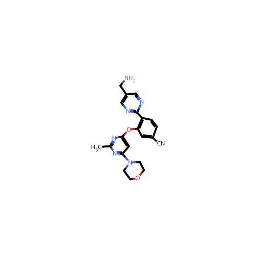 Cc1nc(Oc2cc(C#N)ccc2-c2ncc(CN)cn2)cc(N2CCOCC2)n1